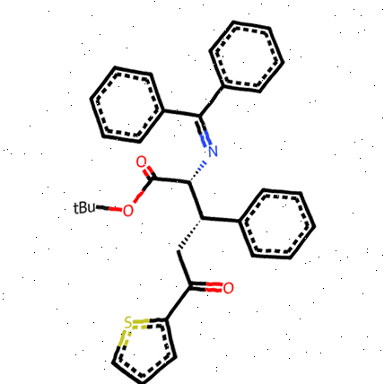 CC(C)(C)OC(=O)[C@H](N=C(c1ccccc1)c1ccccc1)[C@@H](CC(=O)c1cccs1)c1ccccc1